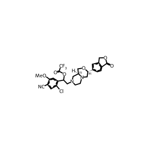 COc1cc(C(CN2CCN3C[C@@H](c4ccc5c(c4)COC5=O)OC[C@@H]3C2)OC(=O)C(F)(F)F)c(Cl)cc1C#N